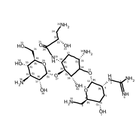 N=C(N)N[C@@H]1C[C@H](O)[C@@H](CN)O[C@@H]1OC1[C@@H](N)C[C@@H](NC(=O)[C@@H](O)CN)[C@H](O[C@H]2O[C@H](CO)[C@@H](O)[C@H](N)[C@H]2O)[C@H]1O